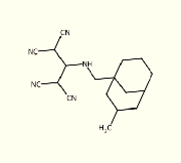 CC1CC2CCCC(CNC(C(C#N)C#N)C(C#N)C#N)(C1)C2